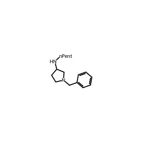 CCCCCNC1CCN(Cc2ccccc2)C1